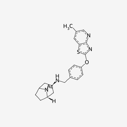 CC(=O)N1C2CC[C@H]1C[C@H](NCc1ccc(Oc3nc4ncc(C)cc4s3)cc1)C2